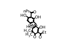 CCCC(=O)c1c(O)cc(OC)c(CC2=C(O)C(C)(C)C(=O)C(C(=O)CC)=C2O)c1O